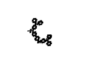 CN(c1ccc(-c2ccc(Nc3ccc(N(c4ccccc4)c4ccccc4)cc3)cc2)cc1)c1ccc(N(C2=CCCC=C2)c2ccccc2)cc1